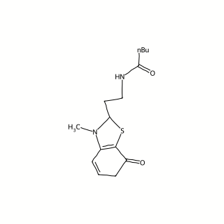 CCCCC(=O)NCCC1SC2=C(C=CCC2=O)N1C